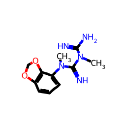 CN(C(=N)N)C(=N)N(C)c1cccc2c1OCO2